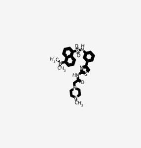 CN1CCN(CC(=O)Nc2nc(-c3cccc(NS(=O)(=O)c4cccc5c(N(C)C)cccc45)c3)cs2)CC1